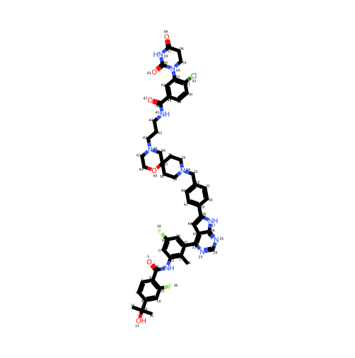 Cc1c(NC(=O)c2ccc(C(C)(C)O)cc2F)cc(F)cc1-c1ncnc2[nH]c(-c3ccc(CN4CCC5(CC4)CN(CCCNC(=O)c4ccc(Cl)c(N6CCC(=O)NC6=O)c4)CCO5)cc3)cc12